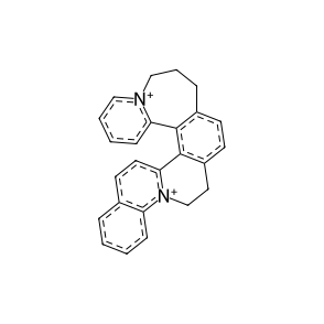 c1cc[n+]2c(c1)-c1c(ccc3c1-c1ccc4ccccc4[n+]1CC3)CCC2